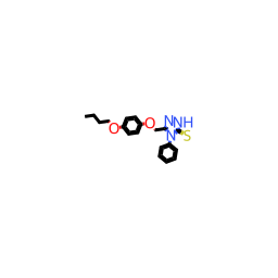 CCCCOc1ccc(OCc2n[nH]c(=S)n2-c2ccccc2)cc1